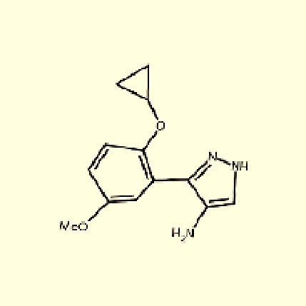 COc1ccc(OC2CC2)c(-c2n[nH]cc2N)c1